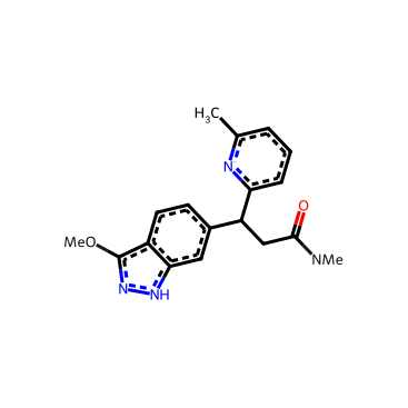 CNC(=O)CC(c1ccc2c(OC)n[nH]c2c1)c1cccc(C)n1